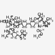 COC(=O)C[C@@H]1N=C(c2ccc(-c3ccc(C(=O)NC(C(=O)N4C[C@H](O)C[C@H]4C(=O)NC(C)c4ccc(-c5scnc5C)cc4)C(C)(C)C)cc3)cc2)c2c(sc(C)c2C)-n2c(C)nnc21